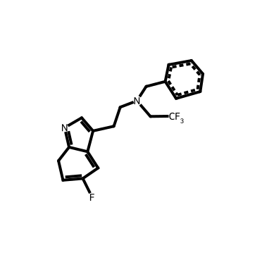 FC1=CCC2=NC=C(CCN(Cc3ccccc3)CC(F)(F)F)C2=C1